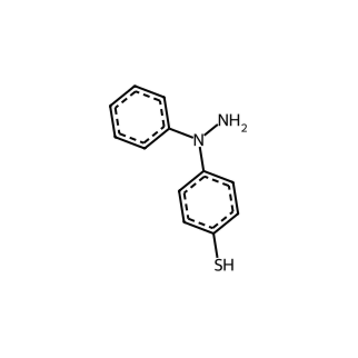 NN(c1ccccc1)c1ccc(S)cc1